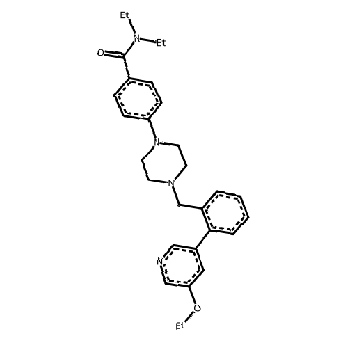 CCOc1cncc(-c2ccccc2CN2CCN(c3ccc(C(=O)N(CC)CC)cc3)CC2)c1